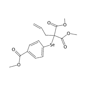 C=CCC([Se]c1ccc(C(=O)OC)cc1)(C(=O)OC)C(=O)OC